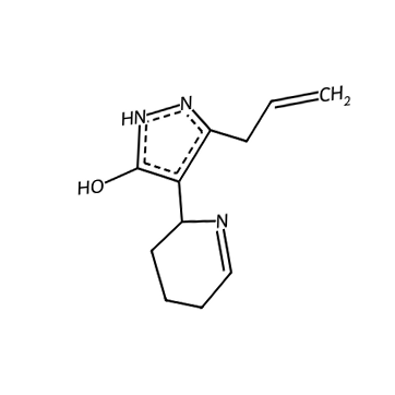 C=CCc1n[nH]c(O)c1C1CCCC=N1